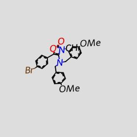 COc1ccc(CN(Cc2ccc(OC)cc2)c2c(-c3ccc(Br)cc3)oc(=O)n2C)cc1